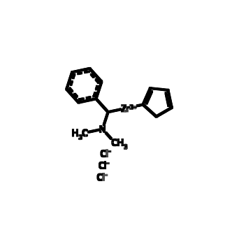 CN(C)[CH]([Zr+3][C]1=CC=CC1)c1ccccc1.[Cl-].[Cl-].[Cl-]